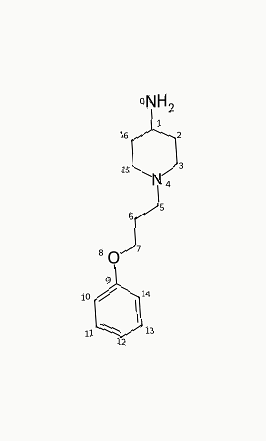 NC1CCN(CCCOc2ccccc2)CC1